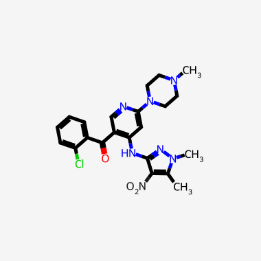 Cc1c([N+](=O)[O-])c(Nc2cc(N3CCN(C)CC3)ncc2C(=O)c2ccccc2Cl)nn1C